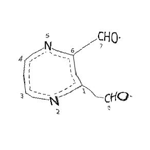 O=[C]c1nccnc1[C]=O